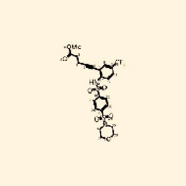 COC(=O)CCC#Cc1cc(C(F)(F)F)ccc1NS(=O)(=O)c1ccc(S(=O)(=O)N2CCOCC2)cc1